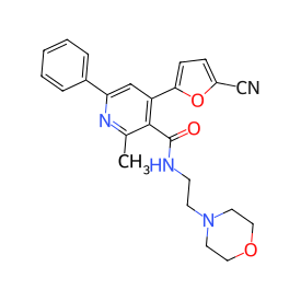 Cc1nc(-c2ccccc2)cc(-c2ccc(C#N)o2)c1C(=O)NCCN1CCOCC1